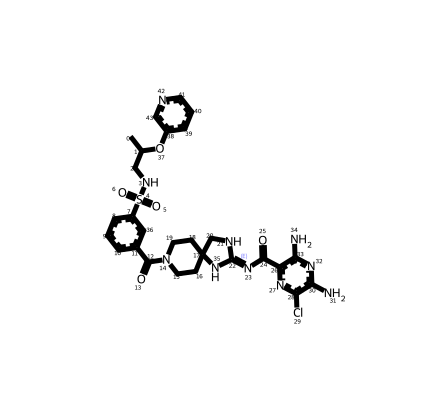 CC(CNS(=O)(=O)c1cccc(C(=O)N2CCC3(CC2)CN/C(=N\C(=O)c2nc(Cl)c(N)nc2N)N3)c1)Oc1cccnc1